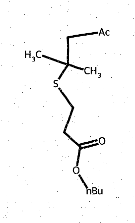 CCCCOC(=O)CCSC(C)(C)CC(C)=O